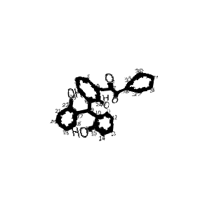 O=C(C(=O)c1cccc(C(c2ccccc2O)c2ccccc2O)c1O)c1ccccc1